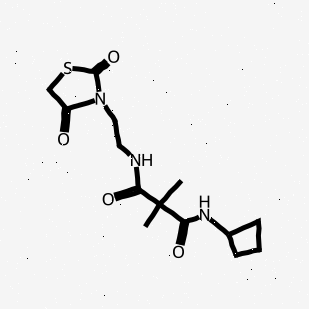 CC(C)(C(=O)NCCN1C(=O)CSC1=O)C(=O)NC1CCC1